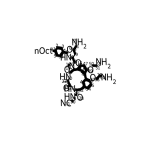 CCCCCCCCc1ccc(C(=O)N[C@@H](CCCN)C(=O)N(C)[C@@H]2C(=O)N[C@@H](C)C(=O)N[C@H](C(=O)NCC#N)Cc3ccc(OCCN)c(c3)-c3cc2ccc3OCCN)cc1